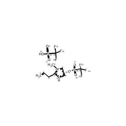 C=CCc1[nH]cc[n+]1C.O=S(=O)(O)C(F)(F)F.O=S(=O)([O-])C(F)(F)F